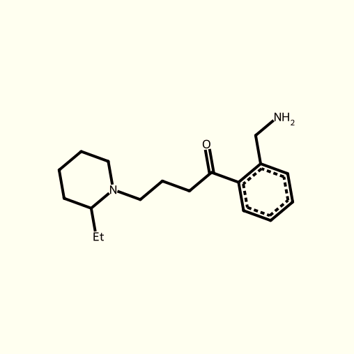 CCC1CCCCN1CCCC(=O)c1ccccc1CN